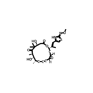 CON=c1[nH]c(C=C(C)[C@@H]2C[C@@H]3O[C@@H]3CCC[C@H](C)[C@H](O)[C@@H](C)C(=O)C(C)(C)[C@@H](O)CC(=O)O2)cs1